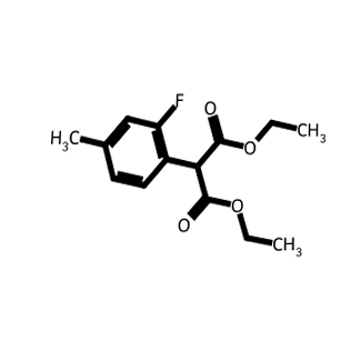 CCOC(=O)C(C(=O)OCC)c1ccc(C)cc1F